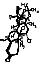 CC1(C)O[C@@H]2C[C@H]3[C@@H]4C[C@H](F)C5=CC(=O)CC[C@]5(C)[C@@]4(Cl)[C@@H](Cl)C[C@]3(C)[C@]2(C(=O)C(F)Br)O1